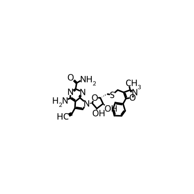 C#Cc1cn([C@@H]2O[C@H](CSCc3c(C)noc3-c3ccccc3)[C@@H](O)[C@H]2O)c2nc(C(N)=O)nc(N)c12